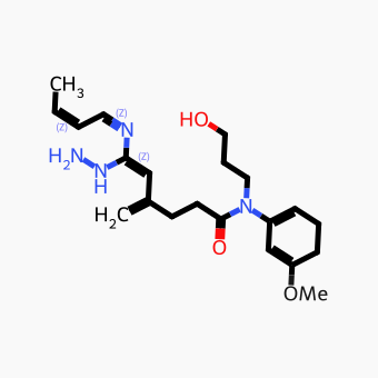 C=C(/C=C(/N=C\C=C/C)NN)CCC(=O)N(CCCO)C1=CCCC(OC)=C1